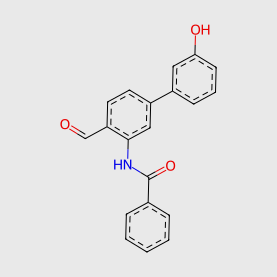 O=Cc1ccc(-c2cccc(O)c2)cc1NC(=O)c1ccccc1